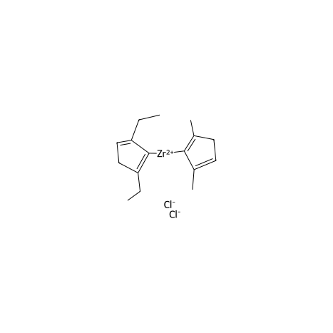 CCC1=CCC(CC)=[C]1[Zr+2][C]1=C(C)CC=C1C.[Cl-].[Cl-]